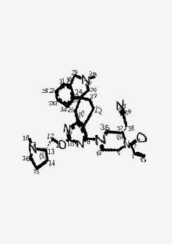 C=CC(=O)N1CCN(c2nc(OC[C@@H]3CCCN3C)nc3c2CCC2(C3)CN(C)Cc3ccccc32)C[C@@H]1CC#N